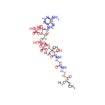 C/C=C(\C)C(=O)SCCNC(=O)CCNC(=O)C(O)C(C)(C)COP(=O)(O)OP(=O)(O)OCC1OC(n2cnc3c(N)ncnc32)C(O)C1OP(=O)(O)O